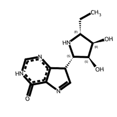 CC[C@H]1N[C@@H](C2C=Nc3c2nc[nH]c3=O)[C@H](O)[C@@H]1O